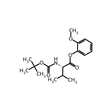 COc1ccccc1OC(=O)[C@@H](NC(=O)OC(C)(C)C)C(C)C